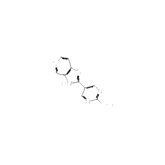 CC(C)(C)c1ncc(-c2nc3ccncc3[nH]2)cn1